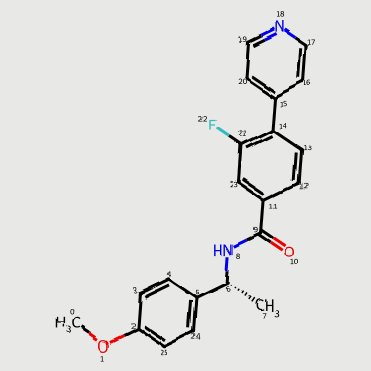 COc1ccc([C@@H](C)NC(=O)c2ccc(-c3ccncc3)c(F)c2)cc1